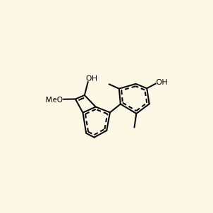 COC1=C(O)c2c1cccc2-c1c(C)cc(O)cc1C